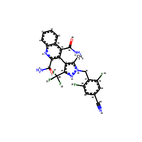 Cc1c(-c2c(C(N)=O)nc3ccccc3c2C(N)=O)c(C(F)(F)F)nn1Cc1c(F)cc(C#N)cc1F